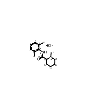 Cc1cccc(C)c1NC(=O)C1CCCCN1C.Cl